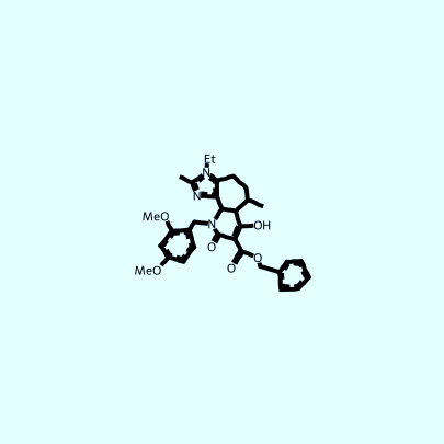 CCn1c(C)nc2c1CCC(C)C1C(O)=C(C(=O)OCc3ccccc3)C(=O)N(Cc3ccc(OC)cc3OC)C21